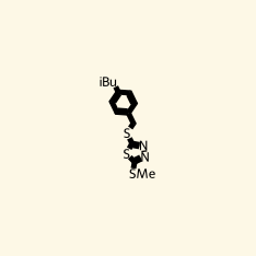 CCC(C)c1ccc(CSc2nnc(SC)s2)cc1